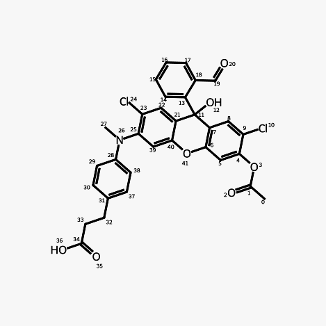 CC(=O)Oc1cc2c(cc1Cl)C(O)(c1ccccc1C=O)c1cc(Cl)c(N(C)c3ccc(CCC(=O)O)cc3)cc1O2